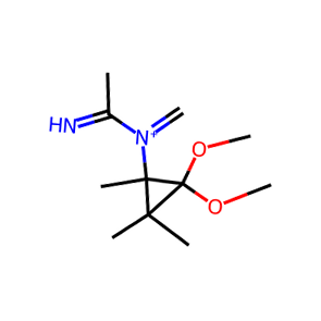 C=[N+](C(C)=N)C1(C)C(C)(C)C1(OC)OC